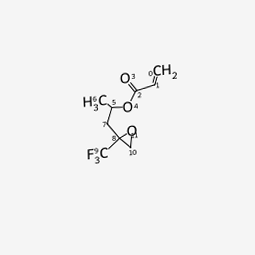 C=CC(=O)OC(C)CC1(C(F)(F)F)CO1